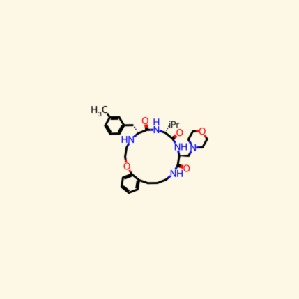 Cc1cccc(C[C@H]2NCCOc3ccccc3CCCNC(=O)[C@H](CN3CCOCC3)NC(=O)[C@@H](C(C)C)NC2=O)c1